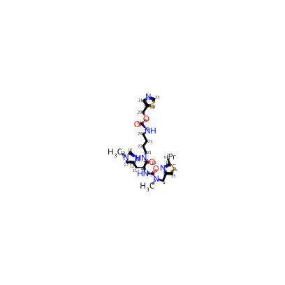 CC(C)c1nc(CN(C)C(=O)N[C@@H](Cc2cn(C)cn2)C(=O)NCCCCNC(=O)OCc2cncs2)cs1